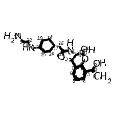 C=C(O)c1cccc2c1OB(O)[C@@H](NC(=O)C[C@H]1CC[C@H](NCCN)CC1)C2